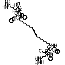 N=C(N)NCCCC(NC(=O)C(Cc1ccccc1)NC(=O)C(Cc1ccccc1)NC(=O)CCCCCCCCC#CC#CCCCCCCCCC(=O)NC(Cc1ccccc1)C(=O)NC(Cc1ccccc1)C(=O)NC(CCCNC(=N)N)C(=O)CCl)C(=O)CCl